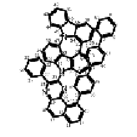 c1ccc(-c2ccc(-c3ccc(-c4cccc5ccc6nc(-c7ccccc7)c(-n7c8cccc9c%10cccc%11c%12ccccc%12n(c%12cccc7c%12c98)c%10%11)nc6c45)cc3)cc2)cc1